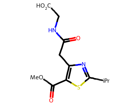 COC(=O)c1sc(C(C)C)nc1CC(=O)NCC(=O)O